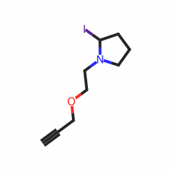 C#CCOCCN1CCCC1I